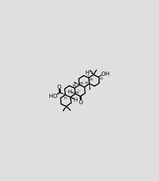 CC1(C)CC[C@]2(C(=O)O)CC[C@]3(C)[C@H](C(=O)CC4[C@@]5(C)CC[C@H](O)C(C)(C)[C@@H]5CC[C@]43C)[C@@H]2C1